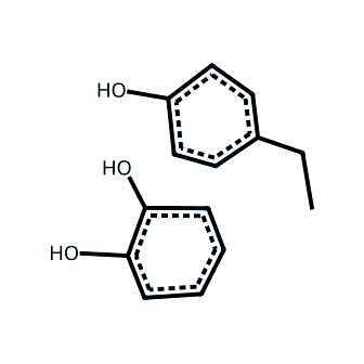 CCc1ccc(O)cc1.Oc1ccccc1O